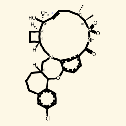 C[C@@H]1[C@@H](C)C/C=C/[C@@](O)(C(F)(F)F)[C@@H]2CC[C@H]2CN2C[C@H]3CCCc4cc(Cl)ccc4C3Oc3ccc(cc32)C(=O)NS1(=O)=O